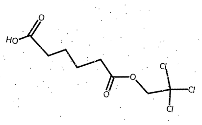 O=C(O)CCCCC(=O)OCC(Cl)(Cl)Cl